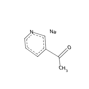 CC(=O)c1cccnc1.[Na]